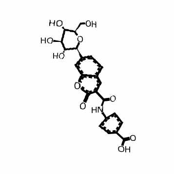 O=C(O)c1ccc(NC(=O)c2cc3ccc([C@@H]4O[C@H](CO)[C@H](O)[C@H](O)[C@H]4O)cc3oc2=O)cc1